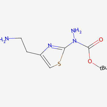 CC(C)(C)OC(=O)N(N)c1nc(CCN)cs1